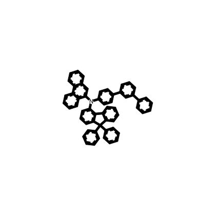 c1ccc(-c2cccc(-c3ccc(N(c4cccc5c4-c4ccccc4C5(c4ccccc4)c4ccccc4)c4cc5ccccc5c5ccccc45)cc3)c2)cc1